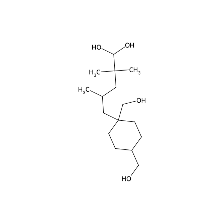 CC(CC1(CO)CCC(CO)CC1)CC(C)(C)C(O)O